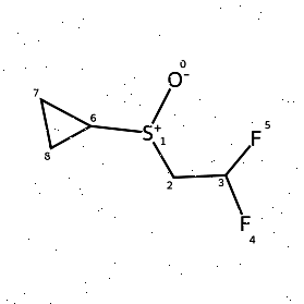 [O-][S+](CC(F)F)C1CC1